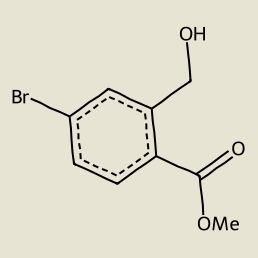 COC(=O)c1ccc(Br)cc1CO